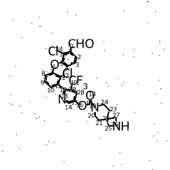 O=Cc1cccc(Oc2cccc(-c3ncc(OC(=O)N4CCC5(CC4)CNC5)cc3C(F)(F)F)c2Cl)c1Cl